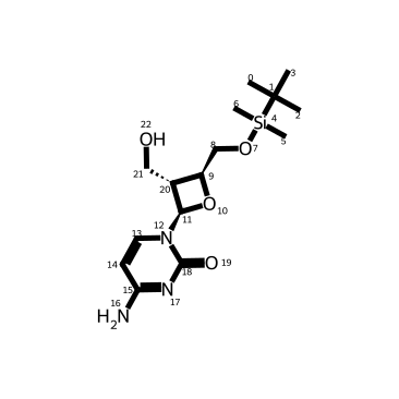 CC(C)(C)[Si](C)(C)OC[C@H]1O[C@@H](n2ccc(N)nc2=O)[C@@H]1CO